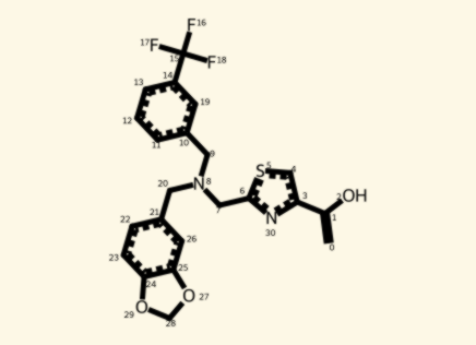 C=C(O)c1csc(CN(Cc2cccc(C(F)(F)F)c2)Cc2ccc3c(c2)OCO3)n1